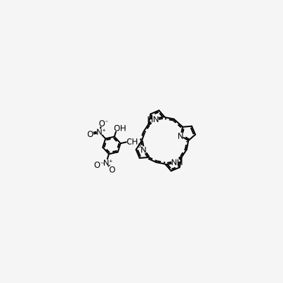 C1=Cc2cc3ccc(cc4nc(cc5ccc(cc1n2)[nH]5)C=C4)[nH]3.Cc1cc([N+](=O)[O-])cc([N+](=O)[O-])c1O